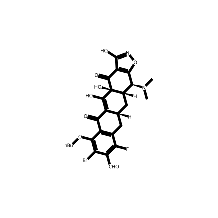 CCCCOc1c(Br)c(C=O)c(F)c2c1C(=O)C1=C(O)[C@]3(O)C(=O)c4c(O)noc4[C@@H](N(C)C)[C@@H]3C[C@@H]1C2